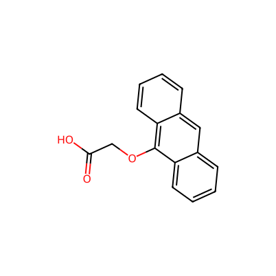 O=C(O)COc1c2ccccc2cc2ccccc12